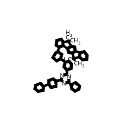 CC1(C)c2ccccc2-c2cc3c(cc21)-c1c(-c2cccc(-c4cccc(-c5nc(-c6ccccc6)nc(-c6ccc(-c7ccccc7)cc6)n5)c4)c2)cccc1C3(C)C